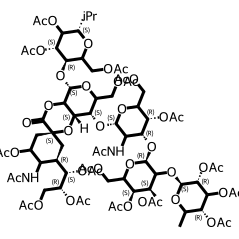 CC(=O)NC1C(OC(C)=O)C[C@]2(C[C@H]1[C@H](OC(C)=O)[C@@H](COC(C)=O)OC(C)=O)O[C@@H]1C(OC2=O)[C@H](O[C@@H]2C(COC(C)=O)O[C@@H](C(C)C)C(OC(C)=O)[C@H]2OC(C)=O)OC(COC(C)=O)[C@@H]1O[C@@H]1OC(COC(C)=O)[C@H](OC(C)=O)[C@H](O[C@@H]2OC(COC(C)=O)[C@H](OC(C)=O)[C@H](OC(C)=O)C2O[C@@H]2OC(C)[C@@H](OC(C)=O)C(OC(C)=O)[C@H]2OC(C)=O)C1NC(C)=O